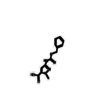 Cn1nc(NC(=O)OCc2ccccc2)cc1C(=O)O